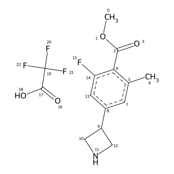 COC(=O)c1c(C)cc(C2CNC2)cc1F.O=C(O)C(F)(F)F